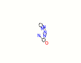 COc1ccc(C#N)c(N2CCN(Cc3nc4ccccc4n3C)CC2)c1